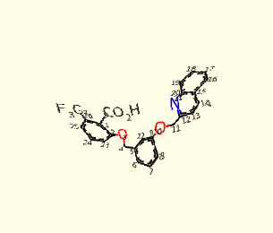 O=C(O)c1c(OCc2cccc(OCc3ccc4ccccc4n3)c2)cccc1C(F)(F)F